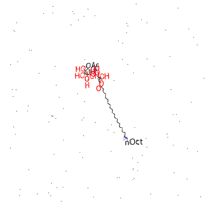 CCCCCCCC/C=C/CCCCCCCCCCCCCCCCCCCC(=O)OC[C@H](O)COP(=O)(O)O[C@H]1C(O)C(O)[C@H](O)C(O)C1OC(C)=O